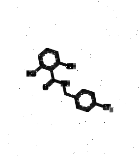 O=C(NCc1ccc(C(F)(F)F)cc1)c1c(O)cccc1O